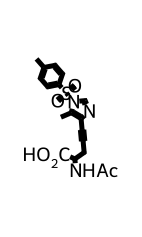 CC(=O)NC(CC#Cc1ncn(S(=O)(=O)c2ccc(C)cc2)c1C)C(=O)O